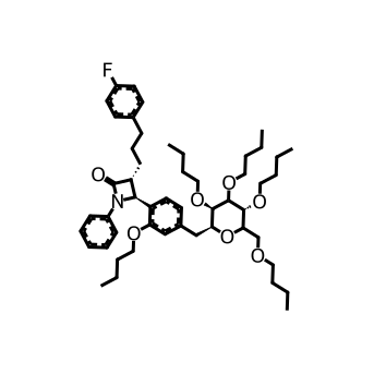 CCCCOCC1O[C@@H](Cc2ccc([C@@H]3[C@@H](CCCc4ccc(F)cc4)C(=O)N3c3ccccc3)c(OCCCC)c2)[C@@H](OCCCC)C(OCCCC)[C@@H]1OCCCC